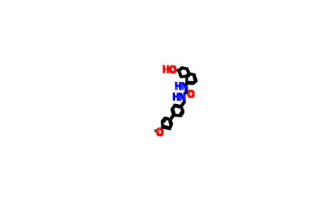 COc1ccc(-c2ccc(CNC(=O)Nc3cccc4c3CC(O)CC4)cc2)cc1